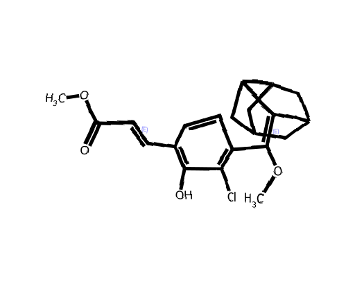 COC(=O)/C=C/c1ccc(/C(OC)=C2/C3CC4CC(C3)C2C4)c(Cl)c1O